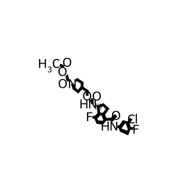 CC(=O)OCC(=O)N1CCC(COC(=O)N[C@H]2CCc3c(C(=O)Nc4ccc(F)c(Cl)c4)ccc(F)c32)CC1